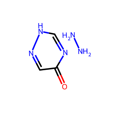 NN.O=c1cn[nH]cn1